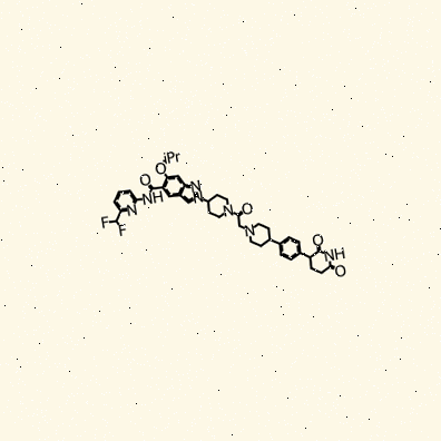 CC(C)Oc1cc2nn(C3CCN(C(=O)CN4CCC(c5ccc(C6CCC(=O)NC6=O)cc5)CC4)CC3)cc2cc1C(=O)Nc1cccc(C(F)F)n1